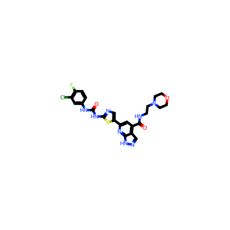 O=C(Nc1ccc(F)c(Cl)c1)Nc1ncc(-c2cc(C(=O)NCCN3CCOCC3)c3cn[nH]c3n2)s1